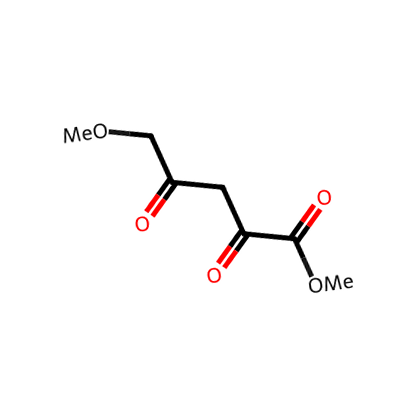 COCC(=O)CC(=O)C(=O)OC